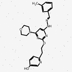 Cc1cccc(C=NNc2cc(N3CCOCC3)nc(OCCc3ccc(O)cn3)n2)c1